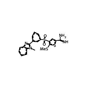 CSc1sc(C(=N)N)cc1S(=O)(=O)c1cccc(-c2nc3ccccc3n2C)c1